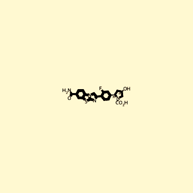 NC(=O)c1ccc2c(c1)sc1nc(-c3ccc([C@H]4C[C@@H](O)CN4C(=O)O)cc3F)cn12